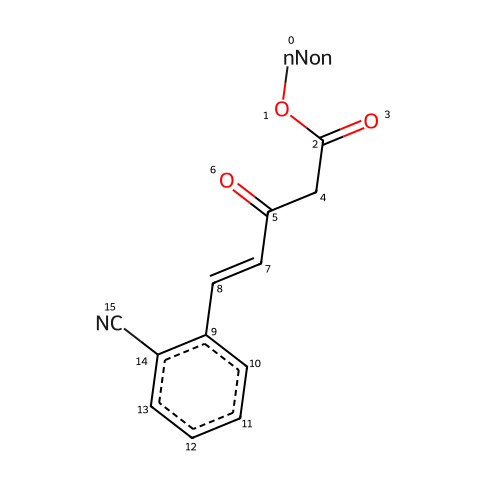 CCCCCCCCCOC(=O)CC(=O)C=Cc1ccccc1C#N